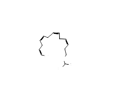 CC/C=C\C/C=C\C/C=C\C/C=C\CCOC(CC)C(C)=O